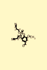 COc1cc(C=O)cc(Br)c1OP(=O)(OCCC#N)OCCC#N